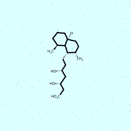 C[C@H]1CCC[C@H]2CC[C@H](C)[C@H](CC[C@@H](O)C[C@@H](O)CC(=O)O)C21